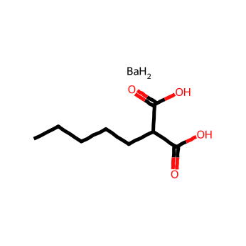 CCCCCC(C(=O)O)C(=O)O.[BaH2]